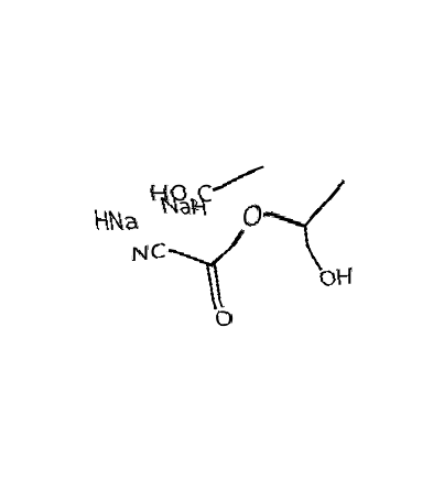 CC(=O)O.CC(O)OC(=O)C#N.[NaH].[NaH]